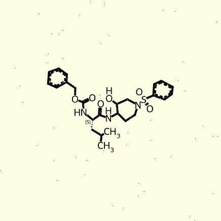 CC(C)C[C@H](NC(=O)OCc1ccccc1)C(=O)NC1CCN(S(=O)(=O)c2ccccc2)CC1O